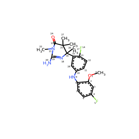 COc1cc(F)ccc1Nc1ccc(F)c(C2(C)N=C(N)N(C)C(=O)C2(C)C)c1